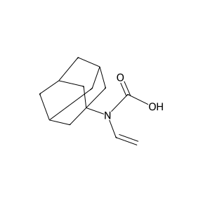 C=CN(C(=O)O)C12CC3CC(CC(C3)C1)C2